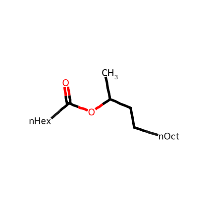 CCCCCCCCCCC(C)OC(=O)CCCCCC